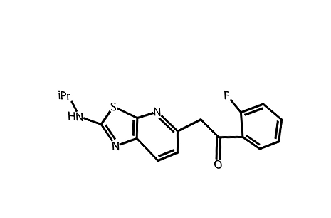 CC(C)Nc1nc2ccc(CC(=O)c3ccccc3F)nc2s1